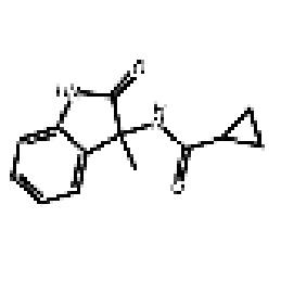 CC1(NC(=O)C2CC2)C(=O)Nc2ccccc21